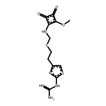 COc1c(NCSCCc2csc(NC(=N)N)n2)c(=O)c1=O